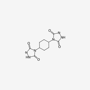 O=C1[N]NC(=O)N1C1CCC(N2C(=O)[N]NC2=O)CC1